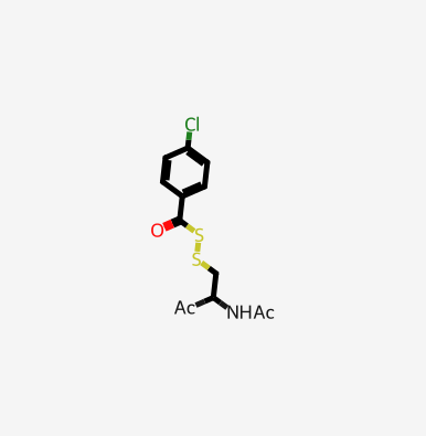 CC(=O)NC(CSSC(=O)c1ccc(Cl)cc1)C(C)=O